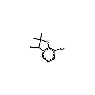 CC(=O)Oc1cccc2c1OC(C)(C)C2I